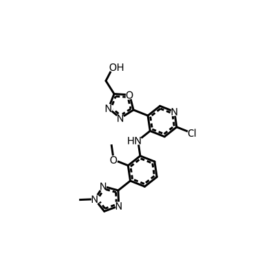 COc1c(Nc2cc(Cl)ncc2-c2nnc(CO)o2)cccc1-c1ncn(C)n1